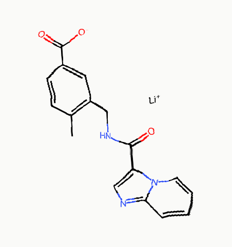 Cc1ccc(C(=O)[O-])cc1CNC(=O)c1cnc2ccccn12.[Li+]